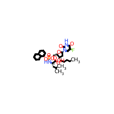 CCCCCOC(=O)[C@H](CC(C)C)NP(=O)(OC[C@H]1O[C@@H](n2cc(F)c(=O)[nH]c2=O)C[C@H]1O)Oc1cccc2ccccc12